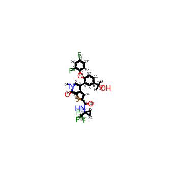 Cn1cc(-c2cc(C(C)(C)O)ccc2Oc2ccc(F)cc2F)c2cc(C(=O)NC3(C(F)(F)F)CC3)sc2c1=O